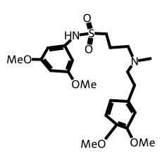 COc1cc(NS(=O)(=O)CCCN(C)CCc2ccc(OC)c(OC)c2)cc(OC)c1